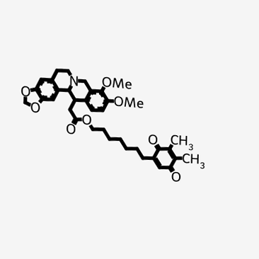 COc1ccc2c(c1OC)CN1CCc3cc4c(cc3C1C2CC(=O)OCCCCCCCC1=CC(=O)C(C)=C(C)C1=O)OCO4